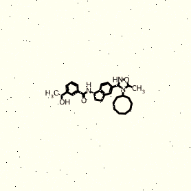 CC1ONC(c2ccc3c(c2)CC[C@H]3NC(=O)c2cccc([C@@H](C)O)c2)N1C1CCCCCCCC1